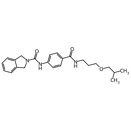 CC(C)COCCCNC(=O)c1ccc(NC(=O)N2Cc3ccccc3C2)cc1